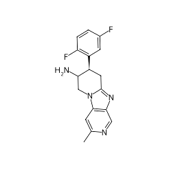 Cc1cc2c(cn1)nc1n2CC(N)[C@@H](c2cc(F)ccc2F)C1